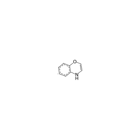 [c]1ccc2c(c1)NC=CO2